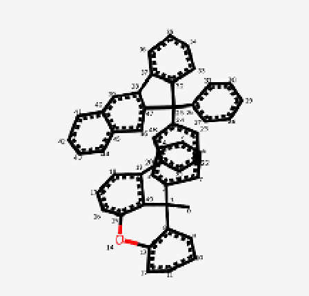 CC1(c2ccccc2)c2ccccc2Oc2cccc(-c3cccc(C4(c5ccccc5)c5ccccc5-c5cc6ccccc6cc54)c3)c21